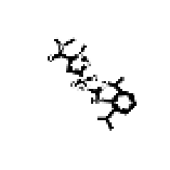 CC(C)c1cccc(C(C)C)c1NC(=O)NS(=O)(=O)c1cc(C(=O)N(C)C)n(C)n1